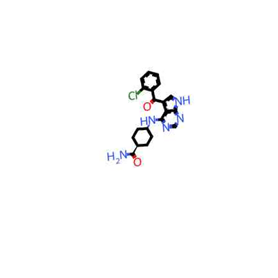 NC(=O)[C@H]1CC[C@@H](Nc2ncnc3[nH]cc(C(=O)c4ccccc4Cl)c23)CC1